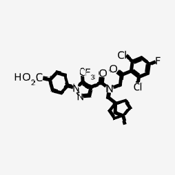 CC12CCC(CN(CC(=O)c3c(Cl)cc(F)cc3Cl)C(=O)c3cnn(C4CCC(C(=O)O)CC4)c3C(F)(F)F)(CC1)C2